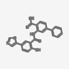 O=C(Nc1cc(-c2ccccc2)ccc1C(=O)O)c1cc(-c2cnco2)ccc1O